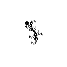 C=c1/c(=C\C(=C/C(C)F)Oc2ccccc2F)[nH]c2c(C(=O)/C=C/C3CC(C)=C(C4CCN(SC)CC4)C=C3NC)cnn12